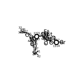 CC[Si](CC)(CC)OC(CNC(=O)COc1ccc(Br)cc1OC)c1ccc(OCOCC[Si](C)(C)C)c(N(COCC[Si](C)(C)C)S(C)(=O)=O)c1